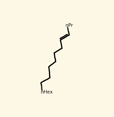 [CH2]CC/C=C/CCCCCCCCCCCC